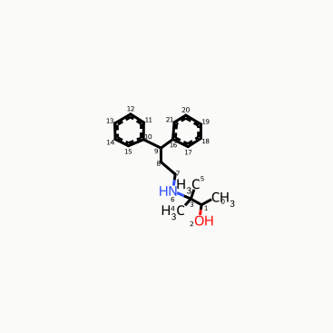 CC(O)C(C)(C)NCCC(c1ccccc1)c1ccccc1